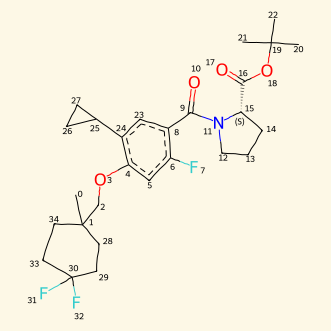 CC1(COc2cc(F)c(C(=O)N3CCC[C@H]3C(=O)OC(C)(C)C)cc2C2CC2)CCC(F)(F)CC1